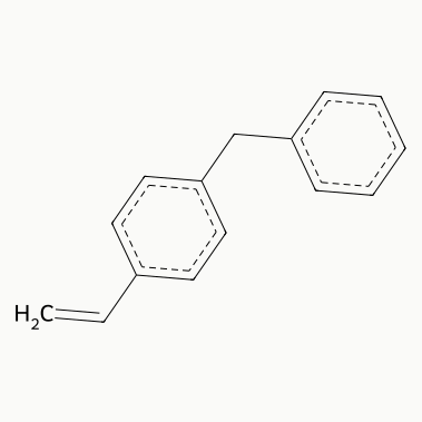 C=Cc1ccc(Cc2ccccc2)cc1